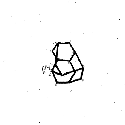 C1C2CC3C4CC5CC(C14)C(C2)C3C5.[AlH3]